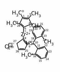 CC1=C(C)C(C)[C]([Zr+2][C]2=C([SiH](c3ccccc3C)c3ccccc3C)C=CC2)=C1C.[Cl-].[Cl-]